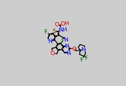 N#Cc1c(NC(=O)O)sc2c(F)cnc(-c3c4c(c5cnc(OC[C@@]67CCCN6CC(F)(F)C7)nc5c3F)COC4)c12